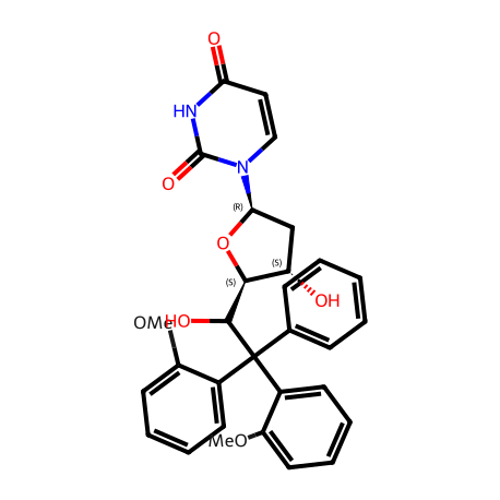 COc1ccccc1C(c1ccccc1)(c1ccccc1OC)C(O)[C@H]1O[C@@H](n2ccc(=O)[nH]c2=O)C[C@@H]1O